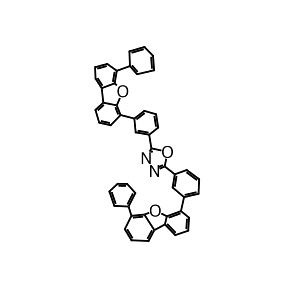 c1ccc(-c2cccc3c2oc2c(-c4cccc(-c5nnc(-c6cccc(-c7cccc8c7oc7c(-c9ccccc9)cccc78)c6)o5)c4)cccc23)cc1